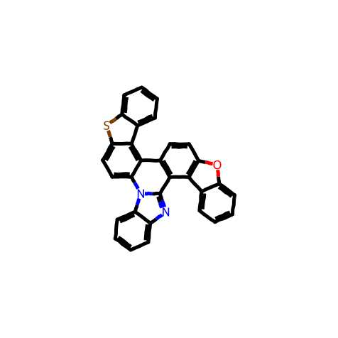 c1ccc2c(c1)nc1c3c(ccc4oc5ccccc5c43)c3c4c(ccc3n21)sc1ccccc14